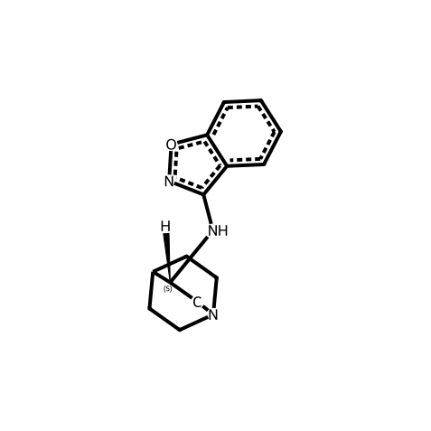 c1ccc2c(N[C@@H]3CN4CCC3CC4)noc2c1